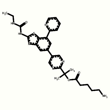 CCNC(=O)Nc1nc2cc(-c3cnc(C(C)(C)OC(=O)CCCCN)nc3)cc(-c3ccccn3)c2s1